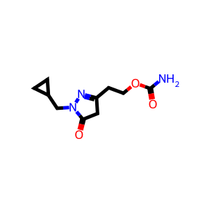 NC(=O)OCCC1=NN(CC2CC2)C(=O)C1